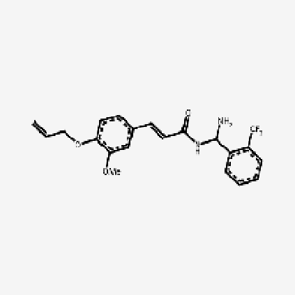 C=CCOc1ccc(C=CC(=O)NC(N)c2ccccc2C(F)(F)F)cc1OC